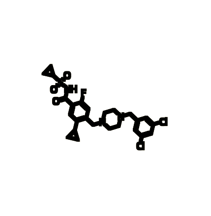 O=C(NS(=O)(=O)C1CC1)c1cc(C2CC2)c(CN2CCN(Cc3cc(Cl)cc(Cl)c3)CC2)cc1F